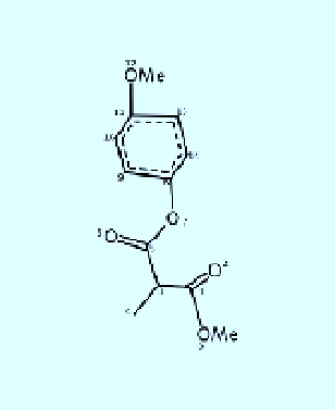 COC(=O)C(C)C(=O)Oc1ccc(OC)cc1